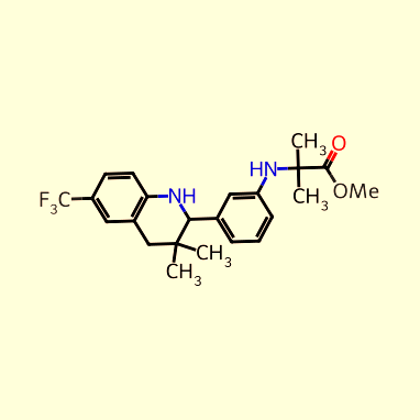 COC(=O)C(C)(C)Nc1cccc(C2Nc3ccc(C(F)(F)F)cc3CC2(C)C)c1